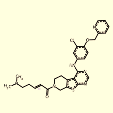 CN(C)CC/C=C/C(=O)N1CCc2c(sc3ncnc(Nc4ccc(OCc5ccccn5)c(Cl)c4)c23)C1